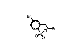 O=S(=O)(Cl)c1ccc(Br)cc1CCBr